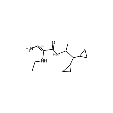 CCN/C(=C\N)C(=O)NC(C)C(C1CC1)C1CC1